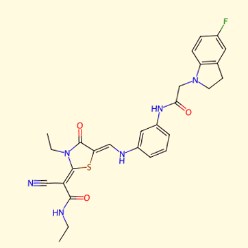 CCNC(=O)C(C#N)=c1sc(=CNc2cccc(NC(=O)CN3CCc4cc(F)ccc43)c2)c(=O)n1CC